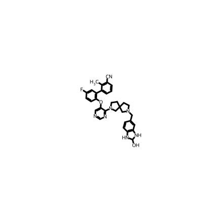 Cc1c(C#N)cccc1-c1cc(F)ccc1Oc1cncnc1N1CCC2(CCN(Cc3ccc4c(c3)NC(O)N4)C2)C1